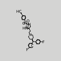 C#Cc1ccc(S(=O)(=O)N/N=C\C(=N)CCN2CCC(=C(c3ccc(F)cc3)c3ccc(F)cc3)CC2)cc1